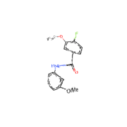 COc1cccc(NC(=O)c2ccc(F)c(OC(F)(F)F)c2)c1